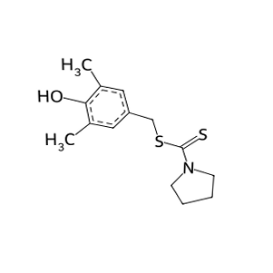 Cc1cc(CSC(=S)N2CCCC2)cc(C)c1O